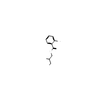 O=C(NCC(O)CO)c1ccccc1O